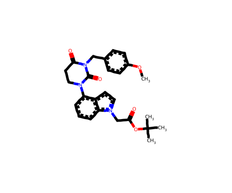 COc1ccc(CN2C(=O)CCN(c3cccc4c3ccn4CC(=O)OC(C)(C)C)C2=O)cc1